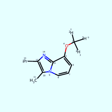 [2H]C([2H])([2H])Oc1cccn2c(C)c(C(C)C)nc12